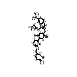 COC(=O)c1ccc2cc(Cc3cc(F)c(-c4ccnc(OCc5ccc(Cl)nc5)n4)cc3F)n(C[C@@H]3CCO3)c2c1